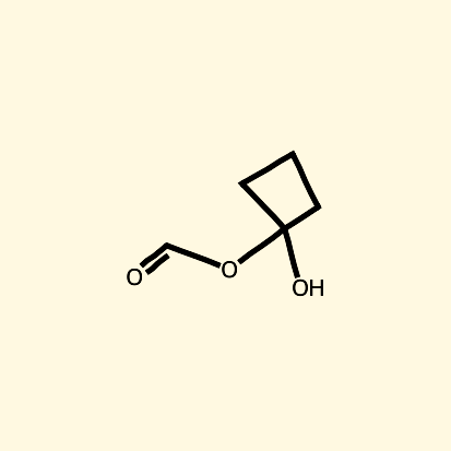 O=COC1(O)CCC1